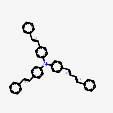 C(/C=C/c1ccc(N(c2ccc(/C=C/c3ccccc3)cc2)c2ccc(/C=C/c3ccccc3)cc2)cc1)=C\c1ccccc1